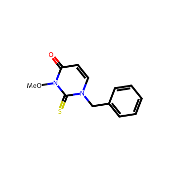 COn1c(=O)ccn(Cc2ccccc2)c1=S